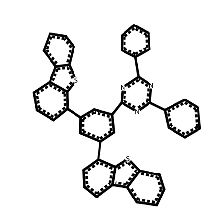 c1ccc(-c2nc(-c3ccccc3)nc(-c3cc(-c4cccc5c4sc4ccccc45)cc(-c4cccc5c4sc4ccccc45)c3)n2)cc1